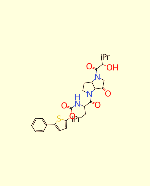 CC(C)CC(NC(=O)Oc1ccc(-c2ccccc2)s1)C(=O)N1CCC2C1C(=O)CN2C(=O)C(O)C(C)C